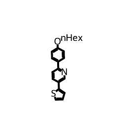 CCCCCCOc1ccc(-c2ccc(-c3cccs3)cn2)cc1